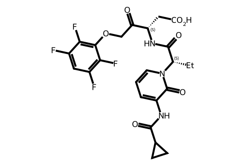 CC[C@@H](C(=O)N[C@@H](CC(=O)O)C(=O)COc1c(F)c(F)cc(F)c1F)n1cccc(NC(=O)C2CC2)c1=O